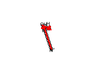 Cc1ccc(C(NCCCCC(NC(=O)C(Cc2ccccc2)NC(=O)CCOCCOCCOCCOCCOCCOCCOCCOCCOCCOCCN=[N+]=[N-])C(=O)Nc2ccc(CO)cc2)(c2ccccc2)c2ccccc2)cc1